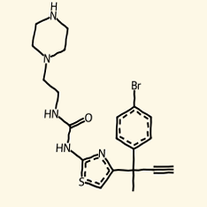 C#CC(C)(c1ccc(Br)cc1)c1csc(NC(=O)NCCN2CCNCC2)n1